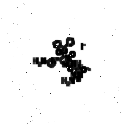 CCON=C(C(=O)NC1C(=O)N2C(C(=O)OC(c3ccccc3)c3ccccc3)=C(C[n+]3cccc(N)c3)CS[C@@H]12)c1nsc(N)n1.[I-]